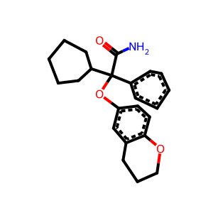 NC(=O)C(Oc1ccc2c(c1)CCCO2)(c1ccccc1)C1CCCCC1